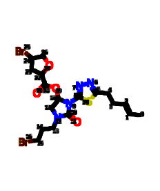 CC=CCCc1nnc(N2C(=O)N(CCCBr)CC2OC(=O)C2CC(Br)CO2)s1